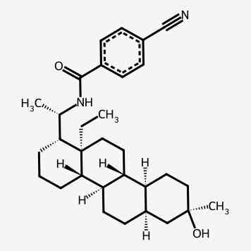 CC[C@]12CC[C@H]3[C@@H](CC[C@@H]4C[C@](C)(O)CC[C@@H]43)[C@@H]1CCC[C@@H]2[C@H](C)NC(=O)c1ccc(C#N)cc1